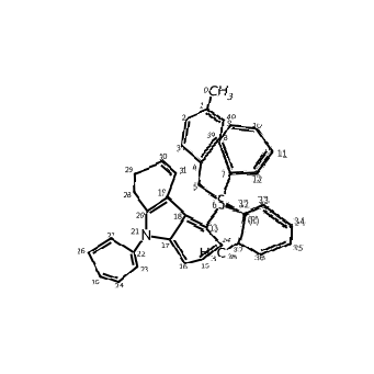 Cc1ccc(CS(c2ccccc2)(c2cccc3c2c2c(n3-c3ccccc3)CCC=C2)[C@H]2C=CC=CC2C)cc1